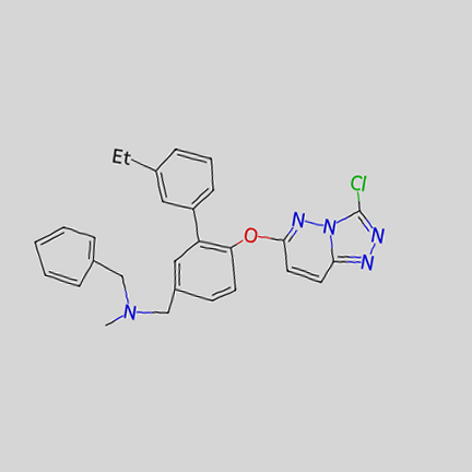 CCc1cccc(-c2cc(CN(C)Cc3ccccc3)ccc2Oc2ccc3nnc(Cl)n3n2)c1